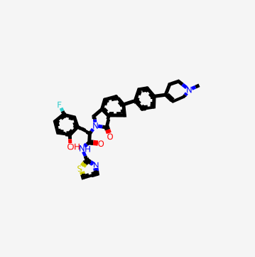 CN1CC=C(c2ccc(-c3ccc4c(c3)C(=O)N(C(C(=O)Nc3nccs3)c3cc(F)ccc3O)C4)cc2)CC1